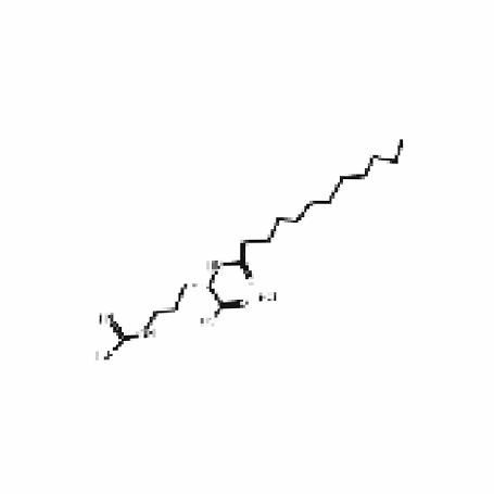 CCCCCCCCCCCC(=O)N[C@@H](CCCNC(=N)N)C(=O)O.Cl